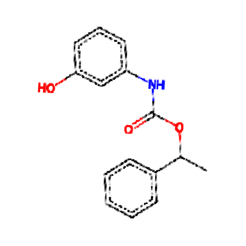 CC(OC(=O)Nc1cccc(O)c1)c1ccccc1